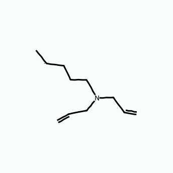 C=CCN(CC=C)CCC[CH]C